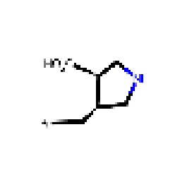 CC(C)C[C@@H]1CNC[C@@H]1C(=O)O